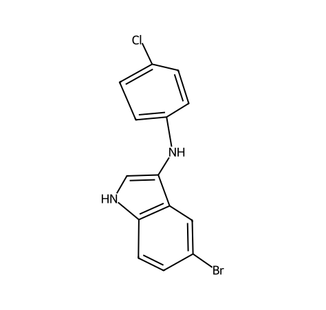 Clc1ccc(Nc2c[nH]c3ccc(Br)cc23)cc1